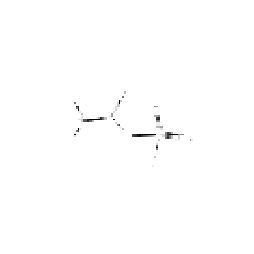 CC(O)C(C)SS(C)(=O)=O